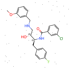 COc1cccc(CNC[C@@H](O)[C@H](Cc2ccc(F)cc2)NC(=O)c2cccc(Cl)c2)c1